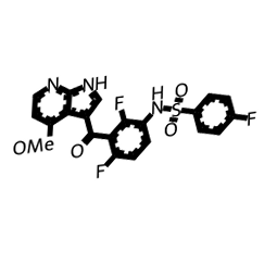 COc1ccnc2[nH]cc(C(=O)c3c(F)ccc(NS(=O)(=O)c4ccc(F)cc4)c3F)c12